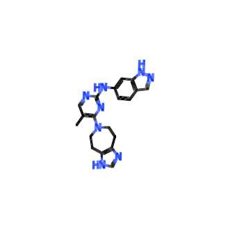 Cc1cnc(Nc2ccc3cn[nH]c3c2)nc1N1CCc2nc[nH]c2CC1